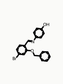 Oc1ccc(/N=C/c2ccc(Br)cc2OCc2ccccc2)cc1